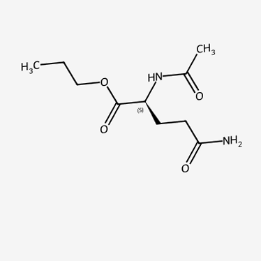 CCCOC(=O)[C@H](CCC(N)=O)NC(C)=O